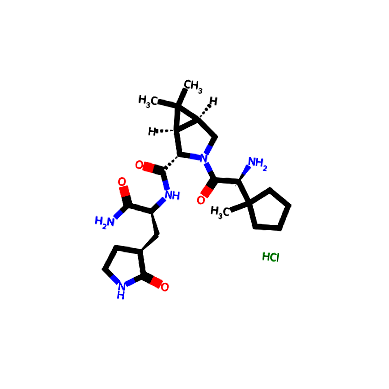 CC1([C@H](N)C(=O)N2C[C@H]3[C@@H]([C@H]2C(=O)N[C@@H](C[C@@H]2CCNC2=O)C(N)=O)C3(C)C)CCCC1.Cl